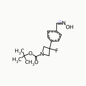 CC(C)(C)OC(=O)N1CC(F)(c2ccc(/C=N\O)cc2)C1